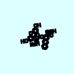 O=C1OC2(c3ccc(O)cc3Oc3cc(O)ccc32)c2ccccc21.O=S(=O)(O)c1ccc2cc3ccccc3cc2c1.[NaH]